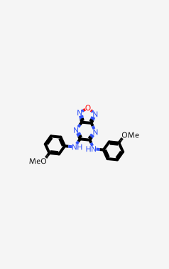 COc1cccc(Nc2nc3nonc3nc2Nc2cccc(OC)c2)c1